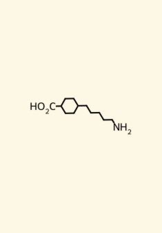 NCCCCCC1CCC(C(=O)O)CC1